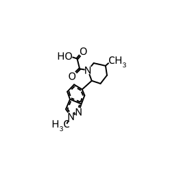 CC1CCC(c2ccc3cn(C)nc3c2)N(C(=O)C(=O)O)C1